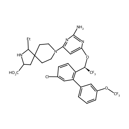 CCC1NC(C(=O)O)CC12CCN(c1cc(O[C@H](c3ccc(Cl)cc3-c3cccc(OC(F)(F)F)c3)C(F)(F)F)nc(N)n1)CC2